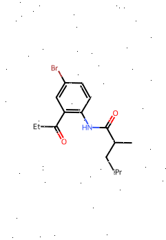 CCC(=O)c1cc(Br)ccc1NC(=O)C(C)CC(C)C